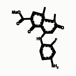 COC(=O)c1cn(C)c2c(c(Nc3ccc(N)cc3F)cc(=O)n2C)c1=O